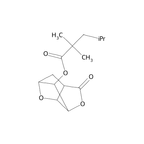 CC(C)CC(C)(C)C(=O)OC1C2CC3C(=O)OC1C3O2